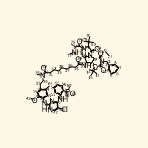 CC[C@H](c1ccccc1)N(C(=O)OC(C)(C)C)C(=O)[C@@H]1C[C@H](NC(=O)CCCCCCCC(=O)N(C)CCc2cc(OC)c(Nc3ncc(Cl)c(Nc4ccccc4P(C)(C)=O)n3)cc2C)CN1C(=O)[C@@H](NC(=O)[C@H](C)NC)C(C)(C)C